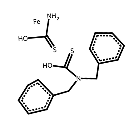 NC(O)=S.OC(=S)N(Cc1ccccc1)Cc1ccccc1.[Fe]